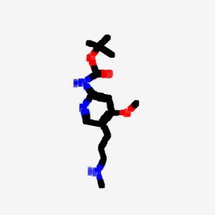 CNCCCc1cnc(NC(=O)OC(C)(C)C)cc1OC